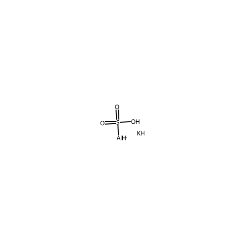 O=[S](=O)(O)[AlH].[KH]